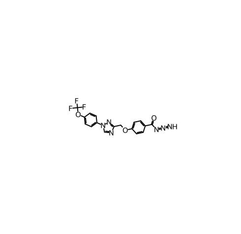 N=[N+]=NC(=O)c1ccc(OCc2ncn(-c3ccc(OC(F)(F)F)cc3)n2)cc1